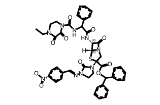 CCN1CCN(C(=O)NC(C(=O)N[C@@H]2C(=O)N3C[C@@](C(=O)OC(c4ccccc4)c4ccccc4)(N4CCN(N=Cc5ccc([N+](=O)[O-])cc5)C4=O)S[C@H]23)c2ccccc2)C(=O)C1=O